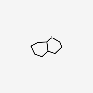 C1CCC2SCCCC2C1